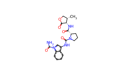 C[C@H]1COC(=O)[C@H]1NC(=O)[C@@H]1CCCN1C(=O)Nc1cn(C(N)=O)c2ccccc12